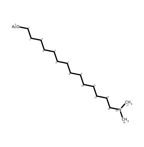 CC(=O)OCCCCCCCCCCCCCCN(C)C